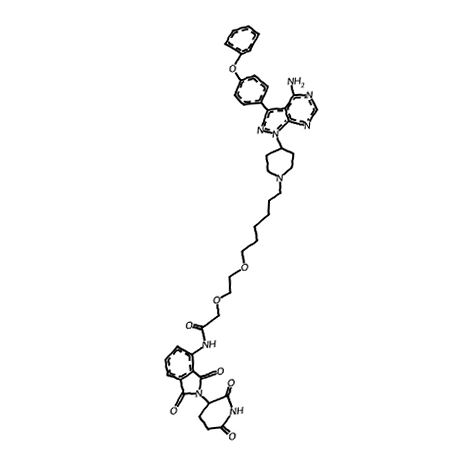 Nc1ncnc2c1c(-c1ccc(Oc3ccccc3)cc1)nn2C1CCN(CCCCCCOCCOCC(=O)Nc2cccc3c2C(=O)N(C2CCC(=O)NC2=O)C3=O)CC1